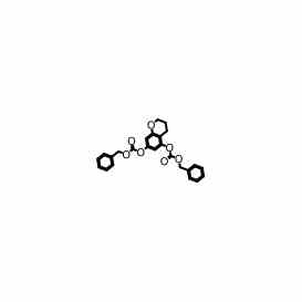 O=C(OCc1ccccc1)Oc1cc2c(c(OC(=O)OCc3ccccc3)c1)CCCO2